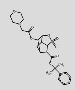 CC(C)(OC(=O)C1C2CC3C(OS(=O)(=O)C31)C2OC(=O)CN1CCOCC1)c1ccccc1